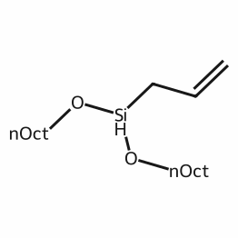 C=CC[SiH](OCCCCCCCC)OCCCCCCCC